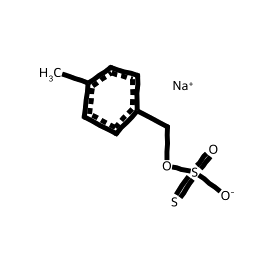 Cc1ccc(COS(=O)([O-])=S)cc1.[Na+]